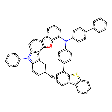 CC1C=Cc2c(c3c4oc5c(N(c6ccc(-c7ccccc7)cc6)c6ccc(-c7cccc8c7sc7ccccc78)cc6)cccc5c4ccc3n2-c2ccccc2)C1